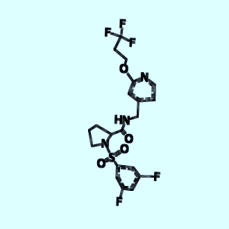 O=C(NCc1ccnc(OCCC(F)(F)F)c1)C1CCCN1S(=O)(=O)c1cc(F)cc(F)c1